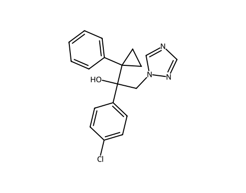 OC(Cn1cncn1)(c1ccc(Cl)cc1)C1(c2ccccc2)CC1